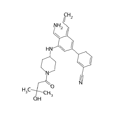 C=C/C=c1/cc(C2C=C(C#N)C=CC2)cc(NC2CCN(C(=O)CC(C)(C)O)CC2)/c1=C/N